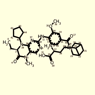 CC[C@@H]1C(=O)N(C)c2cnc(Nc3ccc(C(=O)NC4C5CC4CN(CC[C@H](N)C(=O)O)C5)cc3OC)nc2N1C1CCCC1